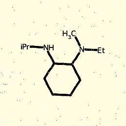 CCN(C)C1CCCCC1NC(C)C